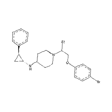 CCC(COc1ccc(Br)cc1)N1CCC(N[C@@H]2C[C@H]2c2ccccc2)CC1